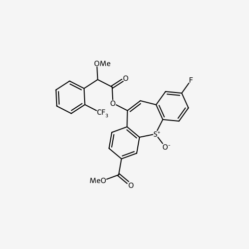 COC(=O)c1ccc2c(c1)[S+]([O-])c1ccc(F)cc1C=C2OC(=O)C(OC)c1ccccc1C(F)(F)F